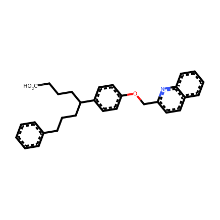 O=C(O)CCCC(CCCc1ccccc1)c1ccc(OCc2ccc3ccccc3n2)cc1